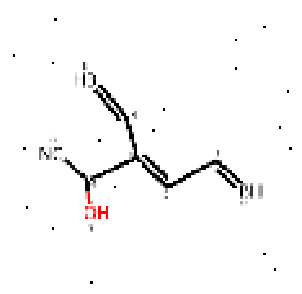 B=C/C=C(\C=B)C(O)C#N